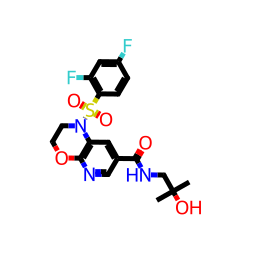 CC(C)(O)CNC(=O)c1cnc2c(c1)N(S(=O)(=O)c1ccc(F)cc1F)CCO2